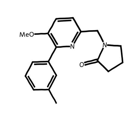 COc1ccc(CN2CCCC2=O)nc1-c1cccc(C)c1